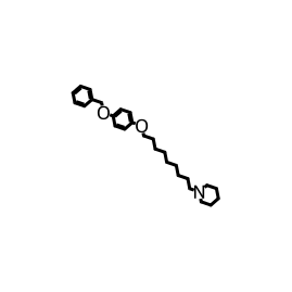 c1ccc(COc2ccc(OCCCCCCCCCN3CCCCC3)cc2)cc1